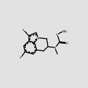 CN(C(=O)OC(C)(C)C)C1Cc2cc(F)cc3c(F)cn(c23)C1